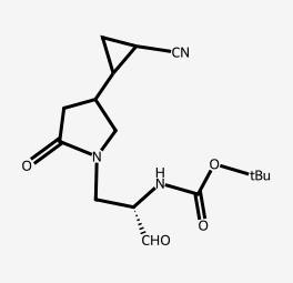 CC(C)(C)OC(=O)N[C@H](C=O)CN1CC(C2CC2C#N)CC1=O